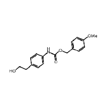 COc1ccc(COC(=O)Nc2ccc(CCO)cc2)cc1